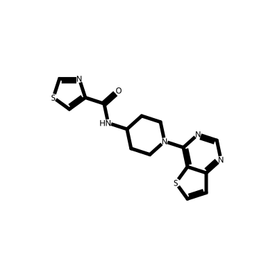 O=C(NC1CCN(c2ncnc3ccsc23)CC1)c1cscn1